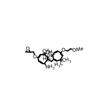 COCCOC1=C/C(C)(C)/C=C(/C/C2=C/C(C)(C)/C=C(OCC3CO3)\C=C/C2N)C(C)(C)/C=C\1